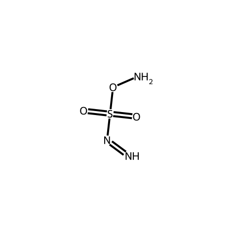 N=NS(=O)(=O)ON